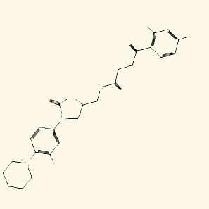 Cc1ccc(C(=O)CCC(=O)NCC2CN(c3ccc(N4CCCCC4)c(F)c3)C(=O)O2)c(C)c1